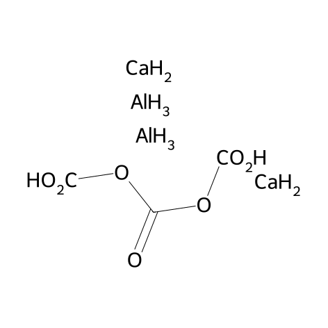 O=C(O)OC(=O)OC(=O)O.[AlH3].[AlH3].[CaH2].[CaH2]